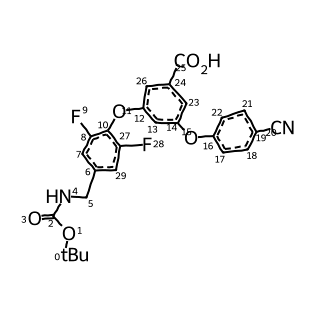 CC(C)(C)OC(=O)NCc1cc(F)c(Oc2cc(Oc3ccc(C#N)cc3)cc(C(=O)O)c2)c(F)c1